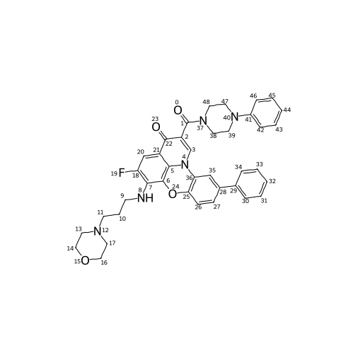 O=C(c1cn2c3c(c(NCCCN4CCOCC4)c(F)cc3c1=O)Oc1ccc(-c3ccccc3)cc1-2)N1CCN(c2ccccc2)CC1